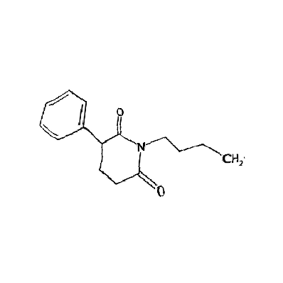 [CH2]CCCN1C(=O)CCC(c2ccccc2)C1=O